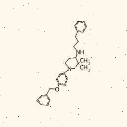 CC1(C)CN(c2ccc(OCc3ccccc3)cc2)CC[C@H]1NCCCc1ccccc1